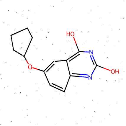 Oc1nc(O)c2cc(OC3CCCC3)ccc2n1